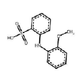 COc1c[c]ccc1Nc1ccccc1S(=O)(=O)O